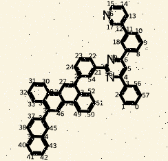 c1ccc(-c2cc(-c3cccc(-c4cccnc4)c3)nc(-c3cccc(-c4cc5c6ccccc6c(-c6ccc7ccccc7c6)cc5c5ccccc45)c3)n2)cc1